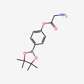 CC1(C)OB(c2ccc(OC(=O)CN)cc2)OC1(C)C